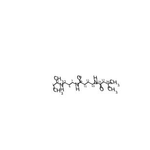 CCC(C)NCCCNC(=O)CCCNC(=O)CC(C)C